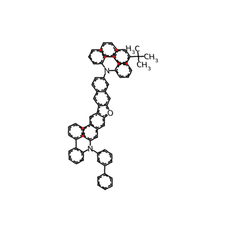 CC(C)(C)c1ccc(-c2ccccc2N(c2ccc3cc4c(cc3c2)oc2cc3cc(N(c5cccc(-c6ccccc6)c5)c5ccccc5-c5ccccc5)ccc3cc24)c2ccccc2-c2ccccc2)cc1